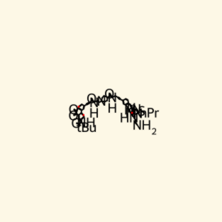 CCCSc1nc(NCCN)c2nnn(Cc3ccc(C#CCNC(=O)C4CCN(CCNC(=O)C#Cc5ccc6c(c5)-c5ccc(NC(=O)C(C)(C)C)cc5C(=O)C6=O)CC4)cc3)c2n1